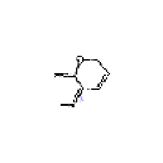 C=C1OCC=C/C1=C/C